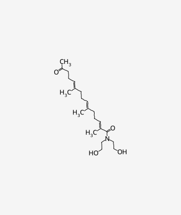 CC(=O)CC/C=C(\C)CC/C=C(\C)CC/C=C(\C)C(=O)N(CCO)CCO